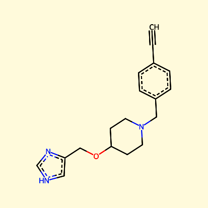 C#Cc1ccc(CN2CCC(OCc3c[nH]cn3)CC2)cc1